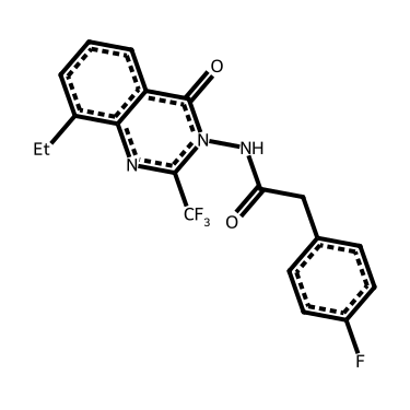 CCc1cccc2c(=O)n(NC(=O)Cc3ccc(F)cc3)c(C(F)(F)F)nc12